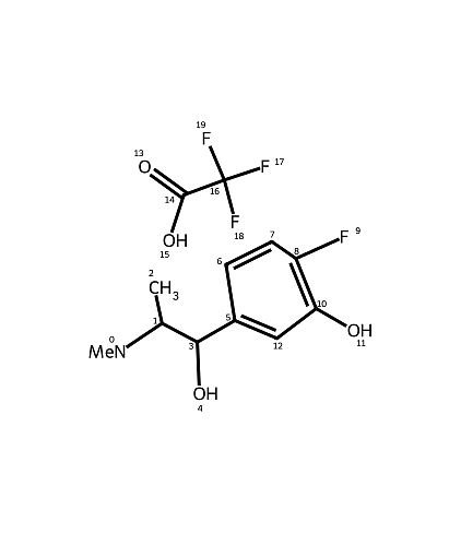 CNC(C)C(O)c1ccc(F)c(O)c1.O=C(O)C(F)(F)F